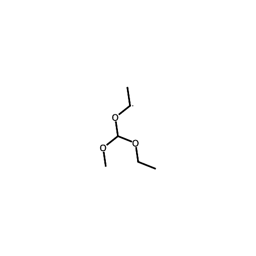 C[CH]OC(OC)OCC